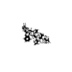 CC[C@H](C)[C@@H]([C@@H](CC(=O)N1CCC[C@H]1[C@H](OC)[C@@H](C)C(=O)N[C@@H](Cc1ccccc1)c1nn[nH]n1)OC)N(C)C(=O)[C@@H](NC(=O)C(NC)C(C)C)C(C)C